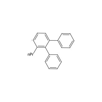 CCCc1[c]ccc(-c2ccccc2)c1-c1ccccc1